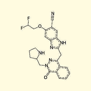 N#Cc1cc2[nH]c(Cc3nn(CC4CCCN4)c(=O)c4ccccc34)nc2cc1OCC(F)F